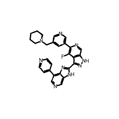 Fc1c(-c2cncc(CN3CCCCC3)c2)ncc2[nH]nc(-c3nc4c(-c5ccncc5)cncc4[nH]3)c12